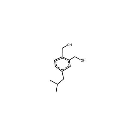 CC(C)Cc1ccc(CO)c(CO)c1